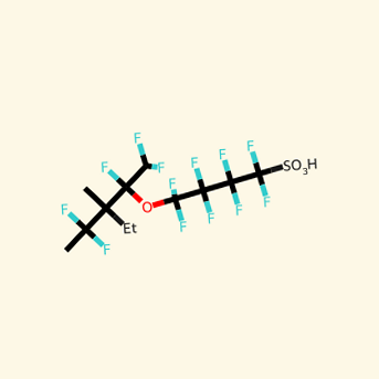 CCC(C)(C(C)(F)F)C(F)(OC(F)(F)C(F)(F)C(F)(F)C(F)(F)S(=O)(=O)O)C(F)F